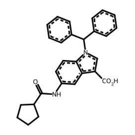 O=C(O)c1cn(C(c2ccccc2)c2ccccc2)c2ccc(NC(=O)C3CCCC3)cc12